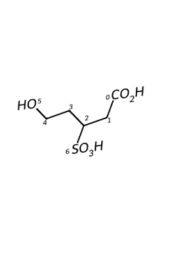 O=C(O)CC(CCO)S(=O)(=O)O